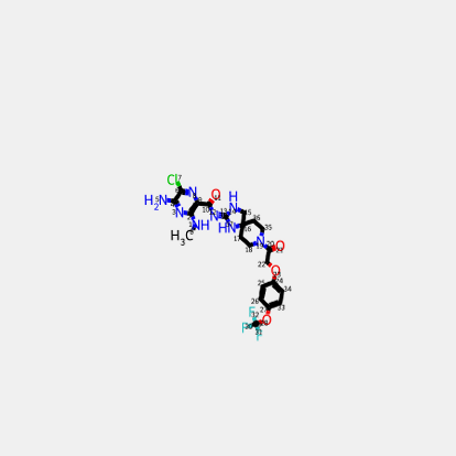 CNc1nc(N)c(Cl)nc1C(=O)/N=C1\NCC2(CCN(C(=O)COc3ccc(OC(F)(F)F)cc3)CC2)N1